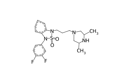 CC1CN(CCCN2c3ccccc3N(c3ccc(F)c(F)c3)S2(=O)=O)CC(C)N1